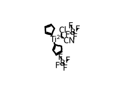 C1=CC[C]([Ti+2][C]2=CC=CC2)=C1.F[B-](F)(F)F.F[B-](F)(F)F.N#CCCl